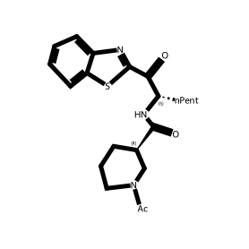 CCCCC[C@H](NC(=O)[C@@H]1CCCN(C(C)=O)C1)C(=O)c1nc2ccccc2s1